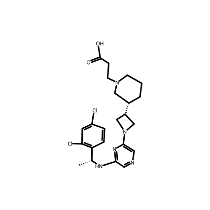 C[C@@H](Nc1cncc(N2CC([C@H]3CCCN(CCC(=O)O)C3)C2)n1)c1ccc(Cl)cc1Cl